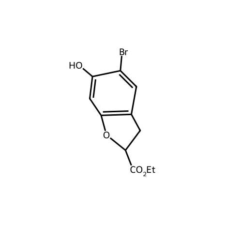 CCOC(=O)C1Cc2cc(Br)c(O)cc2O1